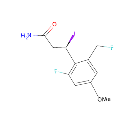 COc1cc(F)c([C@H](I)CC(N)=O)c(CF)c1